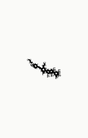 CCCCOc1ccc(C#Cc2cc(F)c(-c3cc(F)c4c(F)c(-c5cc(F)c(F)c(F)c5)c(F)cc4c3)cc2CCC)cc1